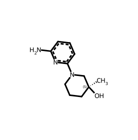 C[C@]1(O)CCCN(c2cccc(N)n2)C1